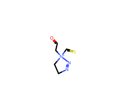 O=CC[N+]1(C=S)CCN=N1